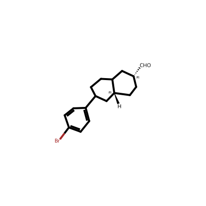 O=C[C@@H]1CC[C@@H]2CC(c3ccc(Br)cc3)CCC2C1